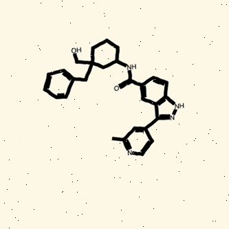 Cc1cc(-c2n[nH]c3ccc(C(=O)NC4CCCC(CO)(Cc5ccccc5)C4)cc23)ccn1